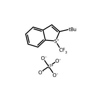 CC(C)(C)c1cc2ccccc2[s+]1C(F)(F)F.[O-][I+3]([O-])([O-])[O-]